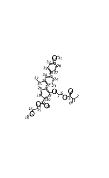 C=C(C)C(=O)OCCOc1cc(C(=O)OCCOC)ccc1-c1ccc(-c2ccc(OC)cc2)cc1CC